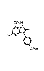 COc1ccc(-c2c(C)nn3c(C(=O)O)cc(C(C)C)nc23)cc1